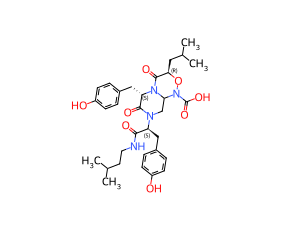 CC(C)CCNC(=O)[C@H](Cc1ccc(O)cc1)N1CC2N(C(=O)O)O[C@H](CC(C)C)C(=O)N2[C@@H](Cc2ccc(O)cc2)C1=O